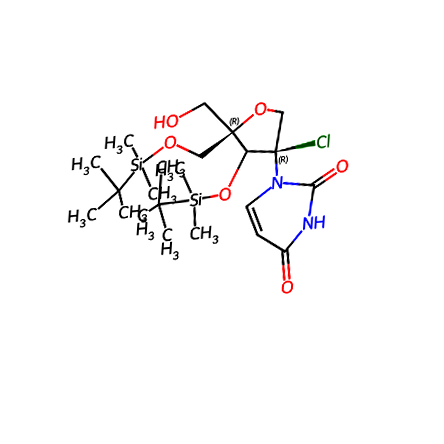 CC(C)(C)[Si](C)(C)OC[C@@]1(CO)OC[C@](Cl)(n2ccc(=O)[nH]c2=O)C1O[Si](C)(C)C(C)(C)C